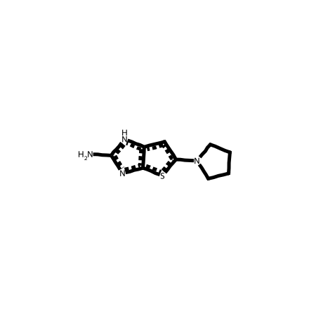 Nc1nc2sc(N3CCCC3)cc2[nH]1